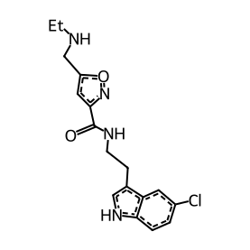 CCNCc1cc(C(=O)NCCc2c[nH]c3ccc(Cl)cc23)no1